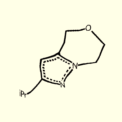 CC(C)c1cc2n(n1)CCOC2